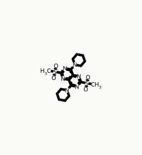 CS(=O)(=O)c1nc(N2CCCCC2)c2nc(S(C)(=O)=O)nc(N3CCCCC3)c2n1